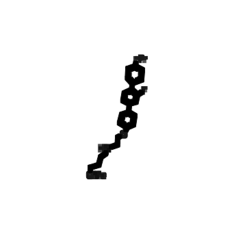 CCCc1ccc(-c2ccc(-c3ccc(OCCNCCCCOC)cc3)cc2F)cc1